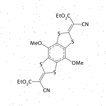 CCOC(=O)C(C#N)=C1Sc2c(OC)c3c(c(OC)c2S1)SC(=C(C#N)C(=O)OCC)S3